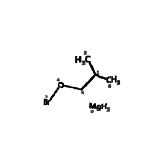 CC(C)COBr.[MgH2]